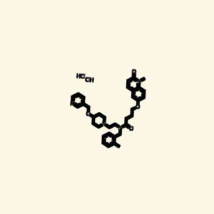 Cc1ccccc1CN(CCN1CCC(OCc2cccnc2)CC1)C(=O)CCCOc1ccc2c(ccc(=O)n2C)c1.Cl.Cl